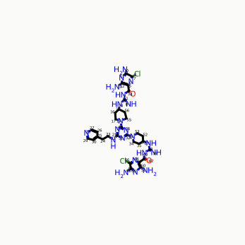 N=C(NC(=O)c1nc(Cl)c(N)nc1N)NC1CCN(c2nc(NCCc3ccncc3)nc(N3CCC(NC(=N)NC(=O)c4nc(Cl)c(N)nc4N)CC3)n2)CC1